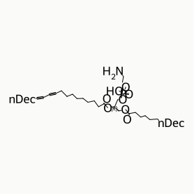 CCCCCCCCCCC#CC#CCCCCCCCCC(=O)O[C@H](COC(=O)CCCCCCCCCCCCCCC)COP(=O)(O)OCCN